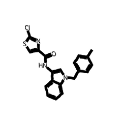 Cc1ccc(Cn2cc(NC(=O)c3csc(Cl)n3)c3ccccc32)cc1